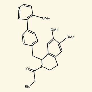 COc1cc2c(cc1OC)C(Cc1ccc(-c3cnccc3OC)cc1)N(C(=O)OC(C)(C)C)CC2